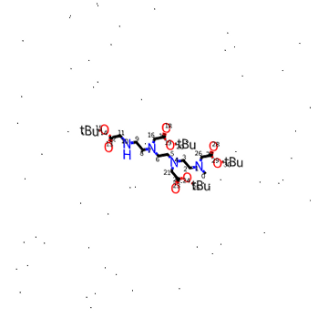 CN(CCN(CCN(CCNCC(=O)OC(C)(C)C)CC(=O)OC(C)(C)C)CC(=O)OC(C)(C)C)CC(=O)OC(C)(C)C